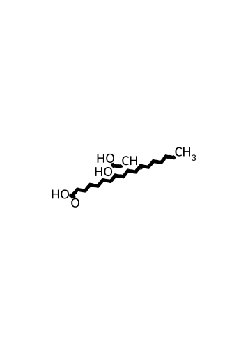 CCC(O)O.CCCCCCCCCCCCCCCCCC(=O)O